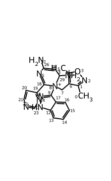 Cc1noc(C)c1C[N+]1(c2n[nH]c3ccccc23)C(c2ccncn2)=NC(N)=CC1N